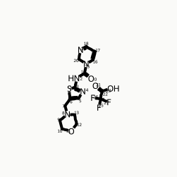 O=C(Nc1ncc(CN2CCOCC2)s1)N1C=CC=NC1.O=C(O)C(F)(F)F